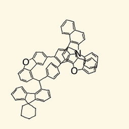 c1ccc(-n2c3ccc(-c4ccc5oc6cccc(C(c7ccc(-c8cccc9c8oc8ccccc89)cc7)c7cccc8c7-c7ccccc7C87CCCCC7)c6c5c4)cc3c3c4ccccc4ccc32)cc1